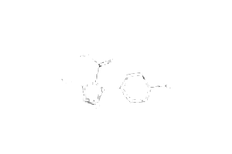 Cc1noc(-c2ccc(O)cc2)c1C(=O)O